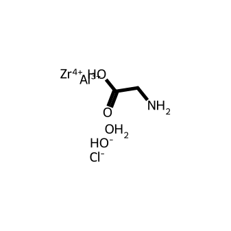 NCC(=O)O.O.[Al+3].[Cl-].[OH-].[Zr+4]